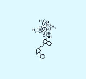 COc1c(NC(=O)Nc2ccc(CCc3ccnc(-c4ccccc4)c3)c3ccccc23)cc(C(C)(C)C)cc1NS(C)(=O)=O